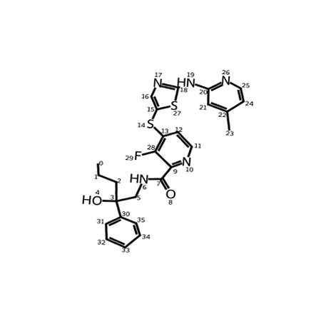 CCCC(O)(CNC(=O)c1nccc(Sc2cnc(Nc3cc(C)ccn3)s2)c1F)c1ccccc1